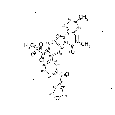 CNC(=O)c1c(-c2ccc(C)cc2)oc2cc(N(C)S(C)(=O)=O)c([C@@H]3CCCN(C(=O)C4C5COCC54)C3)cc12